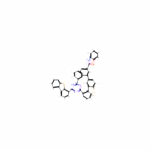 c1ccc(-c2nc(-c3cccc4c3sc3ccccc34)nc(-c3cccc4sc5ccc(-c6cccc(-c7nc8ccccc8o7)c6)cc5c34)n2)cc1